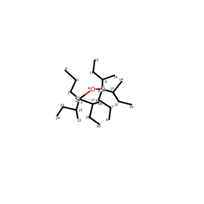 CCC[Si](O[Si](CCC)(C(C)CC)C(C)CC)(C(C)CC)C(C)CC